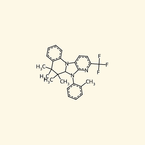 Cc1ccccc1N1c2nc(C(F)(F)F)ccc2N2c3ccccc3C(C)(C)C(C)(C)C21